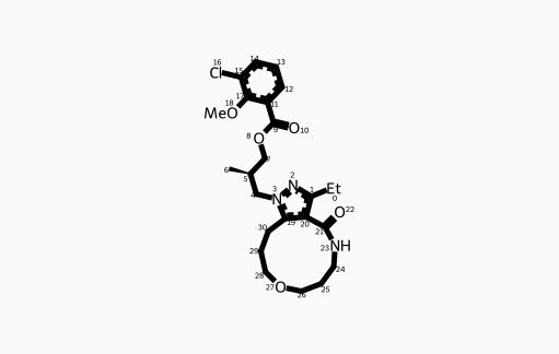 CCc1nn(C[C@@H](C)COC(=O)c2cccc(Cl)c2OC)c2c1C(=O)NCCCOCCC2